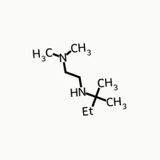 CCC(C)(C)NCCN(C)C